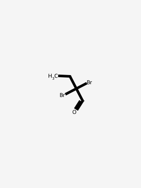 CCC(Br)(Br)[C]=O